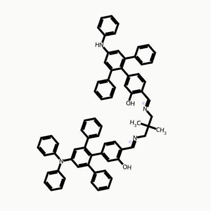 CC(C)(C/N=C/c1ccc(-c2c(-c3ccccc3)cc(Nc3ccccc3)cc2-c2ccccc2)cc1O)C/N=C/c1ccc(-c2c(-c3ccccc3)cc(N(c3ccccc3)c3ccccc3)cc2-c2ccccc2)cc1O